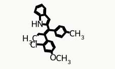 CC/C(=C(/c1ccc(C)cc1)c1cc2ccccc2[nH]1)c1ccc(OC)cc1Cl